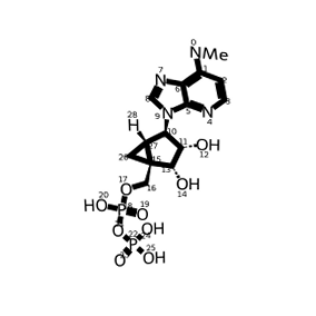 CNc1ccnc2c1ncn2[C@H]1[C@H](O)[C@H](O)[C@]2(COP(=O)(O)OP(=O)(O)O)C[C@H]12